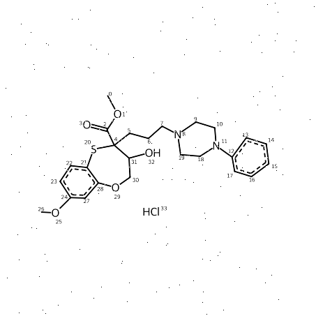 COC(=O)C1(CCCN2CCN(c3ccccc3)CC2)Sc2ccc(OC)cc2OCC1O.Cl